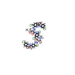 CC(=O)C(/N=N/c1cc(C(=O)Nc2cc(Cl)ccc2C)ccc1Cl)C(=O)Nc1cc(Cl)c(NC(=O)C(/N=N/c2cc(C(=O)Nc3cc(Cl)ccc3C)ccc2Cl)C(C)=O)cc1Cl